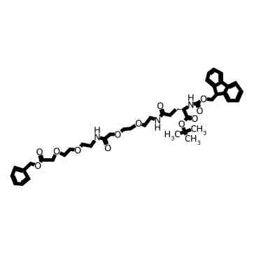 CC(C)(C)OC(=O)[C@H](CCC(=O)NCCOCCOCC(=O)NCCOCCOCC(=O)OCc1ccccc1)NC(=O)OCC1c2ccccc2-c2ccccc21